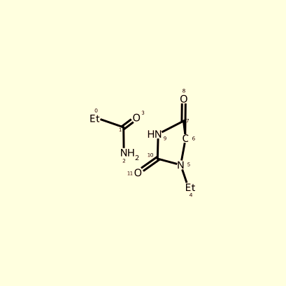 CCC(N)=O.CCN1CC(=O)NC1=O